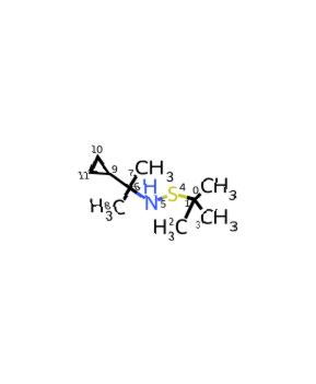 CC(C)(C)SNC(C)(C)C1CC1